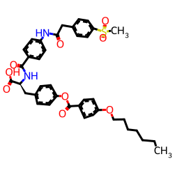 CCCCCCCOc1ccc(C(=O)Oc2ccc(C[C@H](NC(=O)c3ccc(NC(=O)Cc4ccc(S(C)(=O)=O)cc4)cc3)C(=O)O)cc2)cc1